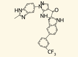 Cc1nc2cc(-n3ncc(C(=O)c4cc5cc(-c6cccc(C(F)(F)F)c6)ccc5[nH]4)c3N)ccc2[nH]1